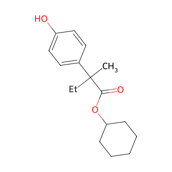 CCC(C)(C(=O)OC1CCCCC1)c1ccc(O)cc1